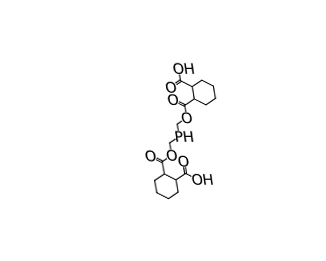 O=C(O)C1CCCCC1C(=O)OCPCOC(=O)C1CCCCC1C(=O)O